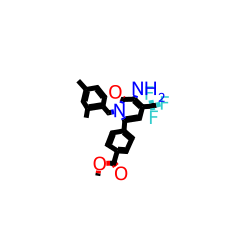 COC(=O)c1ccc(-c2cc(C(F)(F)F)c(N)c(=O)n2Cc2ccc(C)cc2C)cc1